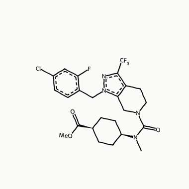 COC(=O)[C@H]1CC[C@@H](N(C)C(=O)N2CCc3c(C(F)(F)F)nn(Cc4ccc(Cl)cc4F)c3C2)CC1